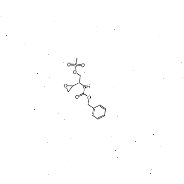 CS(=O)(=O)OCC(NC(=O)OCc1ccccc1)C1CO1